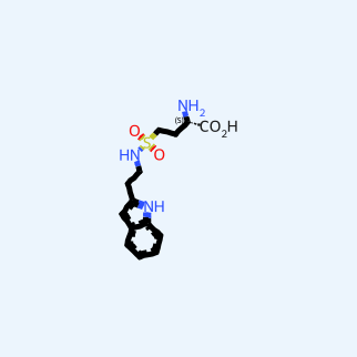 N[C@@H](CCS(=O)(=O)NCCc1cc2ccccc2[nH]1)C(=O)O